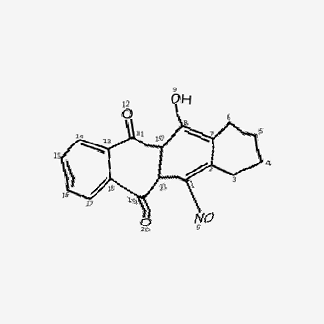 O=NC1=C2CCCCC2=C(O)C2C(=O)c3ccccc3C(=O)C12